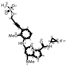 CNc1cc(Nc2cccc(C#CCOS(C)(=O)=O)c2OC)nn2c(C(=O)N[C@@H]3C[C@@H]3F)cnc12